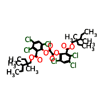 CCC(C)C(C)(CC)COC(=O)c1c(Cl)c(Cl)cc(Cl)c1OC(=O)C(=O)Oc1c(Cl)cc(Cl)c(Cl)c1C(=O)OCC(C)(CC)C(C)CC